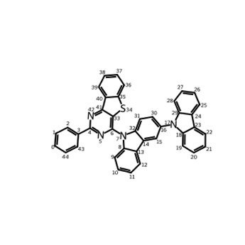 c1ccc(-c2nc(-n3c4ccccc4c4cc(-n5c6ccccc6c6ccccc65)ccc43)c3sc4ccccc4c3n2)cc1